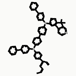 C=C/C(=C\C=C/C)c1ccc(N(c2ccc(-c3ccccc3)cc2)c2ccc(-c3ccc(N(c4ccc(-c5ccccc5)cc4)c4ccc5c(c4)-c4ccncc4C5(C)C)cc3)cc2)cc1